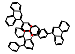 c1ccc(-c2ccccc2-c2c(-c3ccccc3)cccc2N(c2ccc(-c3cc4ccccc4c4ccccc34)cc2)c2ccc(-c3cc4ccccc4c4ccccc34)cc2)cc1